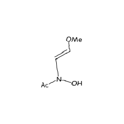 [CH2]OC=CN(O)C(C)=O